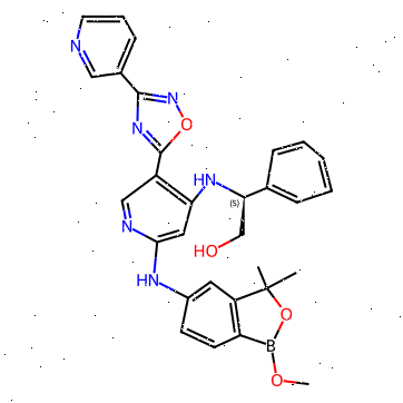 COB1OC(C)(C)c2cc(Nc3cc(N[C@H](CO)c4ccccc4)c(-c4nc(-c5cccnc5)no4)cn3)ccc21